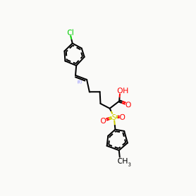 Cc1ccc(S(=O)(=O)C(CCC/C=C/c2ccc(Cl)cc2)C(=O)O)cc1